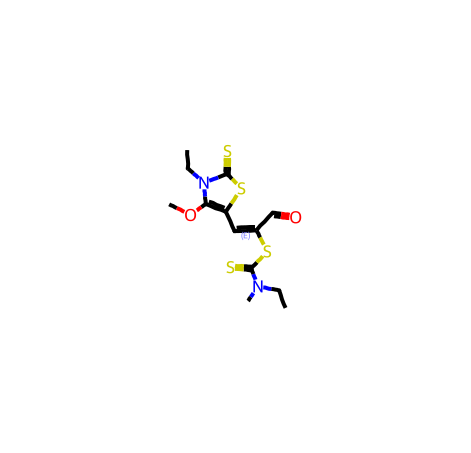 CCN(C)C(=S)S/C(C=O)=C/c1sc(=S)n(CC)c1OC